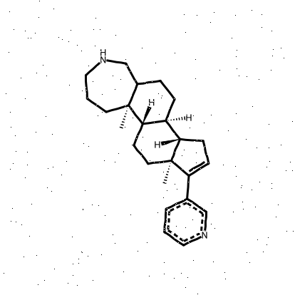 C[C@]12CCCNCC1CC[C@@H]1[C@@H]2CC[C@]2(C)C(c3cccnc3)=CC[C@@H]12